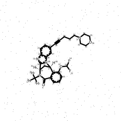 [2H]C([2H])([2H])N1C(=O)c2cccc(OC(F)F)c2[C@H]2C[C@@H]1c1nc3ccc(C#CCCCN4CCOCC4)cc3n12